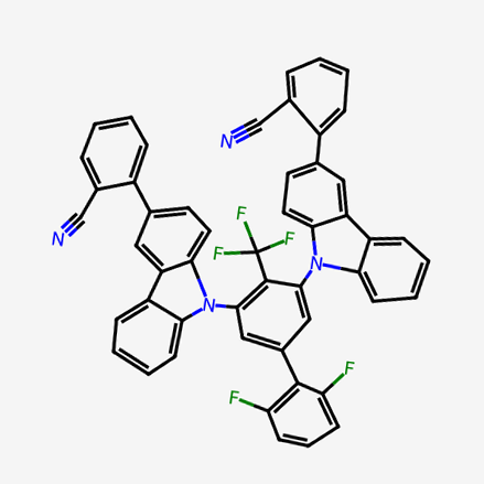 N#Cc1ccccc1-c1ccc2c(c1)c1ccccc1n2-c1cc(-c2c(F)cccc2F)cc(-n2c3ccccc3c3cc(-c4ccccc4C#N)ccc32)c1C(F)(F)F